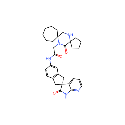 O=C(CN1C(=O)C2(CCCC2)NCC12CCCCCC2)Nc1ccc2c(c1)C[C@@]1(C2)C(=O)Nc2ncccc21